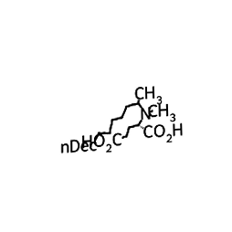 CCCCCCCCCCCCCCCC(C)N(C)[C@@H](CCC(=O)O)C(=O)O